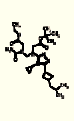 CCOC(=O)CN(C[C@@H](CC(=O)OC(C)(C)C)c1nnc([C@H]2C[C@@H](CC(C)C)C2)n1C1CC1)C(N)=O